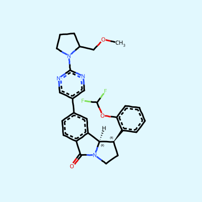 COCC1CCCN1c1ncc(-c2ccc3c(c2)[C@H]2[C@@H](c4ccccc4OC(F)F)CCN2C3=O)cn1